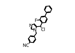 N#Cc1ccc(Cn2cncc2C(Cl)c2ccc(-c3ccccc3)cc2F)cc1